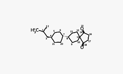 CC(I)C[C@H]1CC[C@H](C2CCC3(CC2)C(=O)CCC3=O)CC1